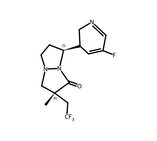 C[C@@]1(CC(F)(F)F)CN2CC[C@@H](C3C=C(F)C=NC3)N2C1=O